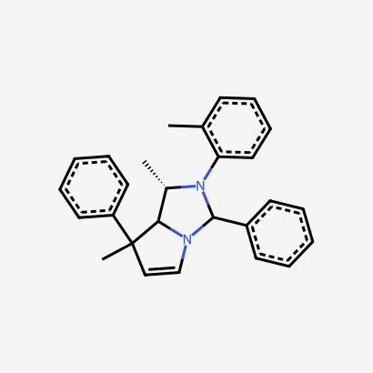 Cc1ccccc1N1C(c2ccccc2)N2C=CC(C)(c3ccccc3)C2[C@@H]1C